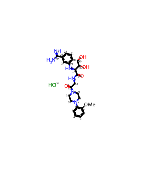 COc1ccccc1N1CCN(C(=O)CNC(=O)C(Nc2cccc(C(=N)N)c2)C(O)CO)CC1.Cl